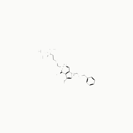 C[Si](C)(C)CCOCn1ncc2c(c(I)cn2COCc2ccccc2)c1=O